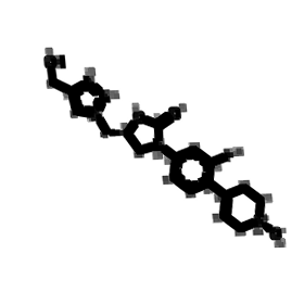 O=C1O[C@@H](Cn2cc(CO)nn2)CN1c1ccc(C2=CC[S@+]([O-])CC2)c(F)c1